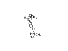 CC(C)NCCOc1ccc2c(c1)CN(C(=O)OC(C)(C)C)C2